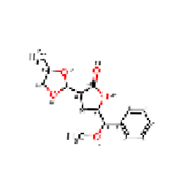 COC(c1ccccc1)C1CC(C2OCC(C)O2)C(=O)O1